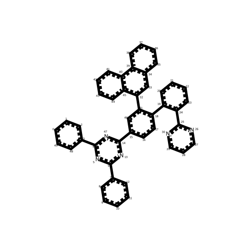 c1ccc(-c2nc(-c3ccccc3)nc(-c3ccc(-c4ccccc4-c4ncccn4)c(-c4cc5ccccc5c5ccccc45)c3)n2)cc1